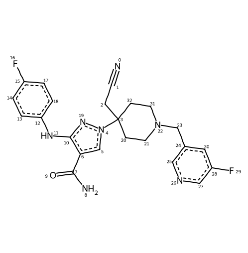 N#CCC1(n2cc(C(N)=O)c(Nc3ccc(F)cc3)n2)CCN(Cc2cncc(F)c2)CC1